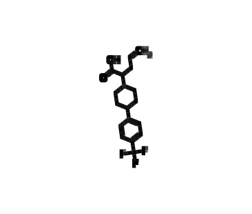 C=CCC(C(=O)O)C1CCC(c2ccc(C(F)(F)F)cc2)CC1